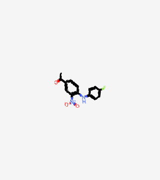 CC(=O)c1ccc(Nc2ccc(F)cc2)c([N+](=O)[O-])c1